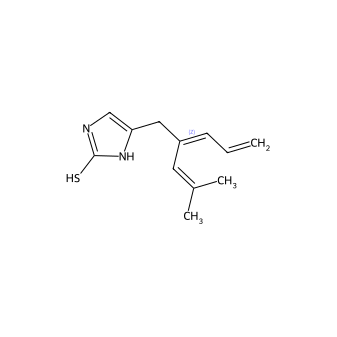 C=C/C=C(\C=C(C)C)Cc1cnc(S)[nH]1